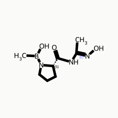 CB(O)N1CCC[C@H]1C(=O)N/C(C)=N/O